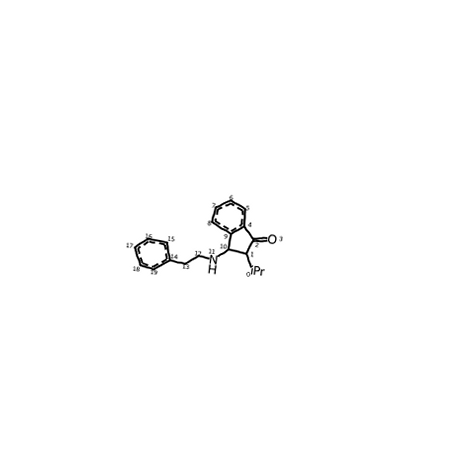 CC(C)C1C(=O)c2ccccc2C1NCCc1ccccc1